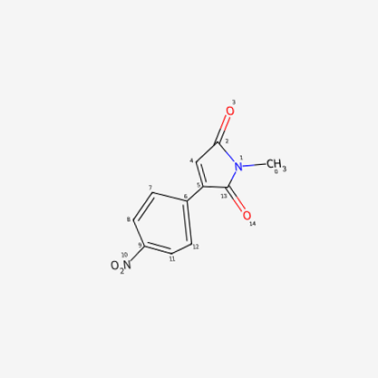 CN1C(=O)C=C(c2ccc([N+](=O)[O-])cc2)C1=O